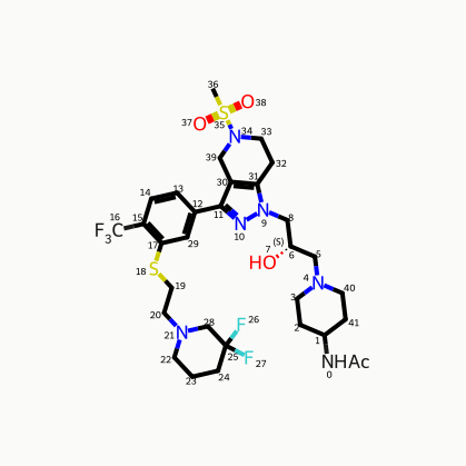 CC(=O)NC1CCN(C[C@H](O)Cn2nc(-c3ccc(C(F)(F)F)c(SCCN4CCCC(F)(F)C4)c3)c3c2CCN(S(C)(=O)=O)C3)CC1